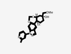 CC[C@@]12CC[C@](O)(COC)C[C@@H]1CCOc1cc3c(cnn3-c3ccnc(C)c3)cc12